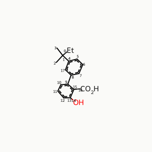 CCC(C)(C)c1cccc(-c2cccc(O)c2C(=O)O)c1